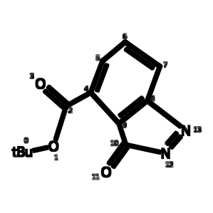 CC(C)(C)OC(=O)c1cccc2c1C(=O)N=N2